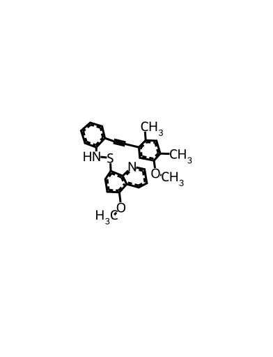 COc1cc(C#Cc2ccccc2NSc2ccc(OC)c3cccnc23)c(C)cc1C